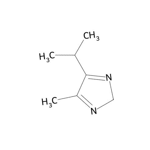 CC1=NCN=C1C(C)C